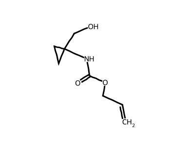 C=CCOC(=O)NC1(CO)CC1